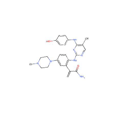 C=C(C(N)=O)c1cc(N2CCN(CC)CC2)ccc1Nc1ncc(C#N)c(Nc2ccc(O)cc2)n1